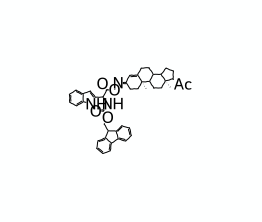 CC(=O)[C@H]1CCC2C3CCC4=C/C(=N/OC(=O)[C@@H](NC(=O)OCC5c6ccccc6-c6ccccc65)c5cc6ccccc6[nH]5)CC[C@]4(C)C3CC[C@@]21C